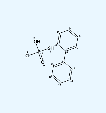 O=P(O)(S)Cl.c1ccc(-c2ccccc2)cc1